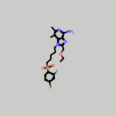 CCOCc1nc2c(N)nc(C)c(C)c2n1CCCCCS(=O)(=O)c1ccc(F)cc1F